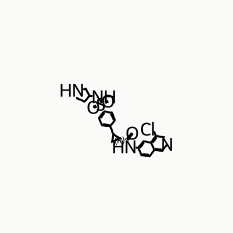 O=C(Nc1ccc2cncc(Cl)c2c1)[C@@H]1CC1c1ccc(S(=O)(=O)NC2CCNC2)cc1